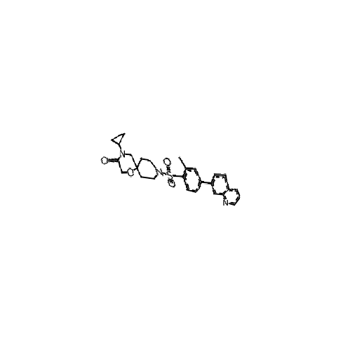 Cc1cc(-c2ccc3cccnc3c2)ccc1S(=O)(=O)N1CCC2(CC1)CN(C1CC1)C(=O)CO2